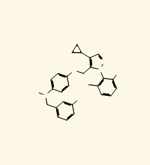 CN(Cc1cccc(C(=O)O)c1)c1ccc(OCc2c(C3CC3)cnn2-c2c(Cl)cccc2Cl)cc1